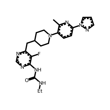 CCNC(=O)Nc1ncnc(CC2CCN(c3ccc(-n4cccn4)nc3C)CC2)c1F